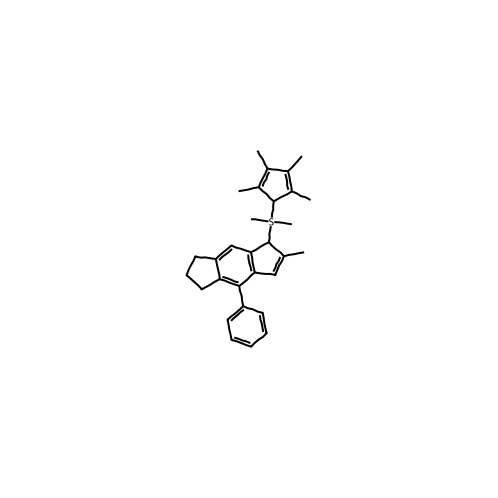 CC1=Cc2c(cc3c(c2-c2ccccc2)CCC3)C1S(C)(C)C1C(C)=C(C)C(C)=C1C